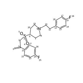 C=C(CS(=O)(=O)C1CCN(CCc2ccc(F)cc2)CC1)c1ccc(F)cc1